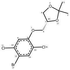 CC1(C)OC[C@@H](COc2cc(Cl)c(Br)cc2Cl)O1